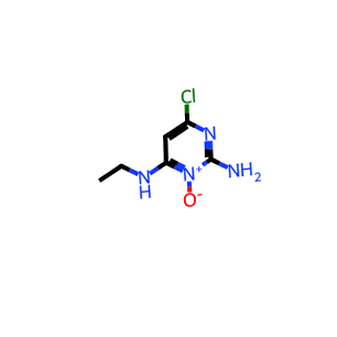 CCNc1cc(Cl)nc(N)[n+]1[O-]